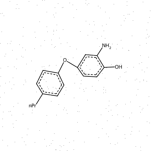 CCCc1ccc(Oc2ccc(O)c(N)c2)cc1